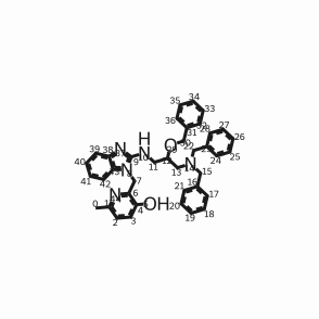 Cc1ccc(O)c(Cn2c(NCC(CN(Cc3ccccc3)Cc3ccccc3)OCc3ccccc3)nc3ccccc32)n1